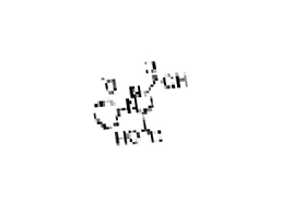 COc1ccccc1-n1nc(C(=O)O)cc1C(=O)O